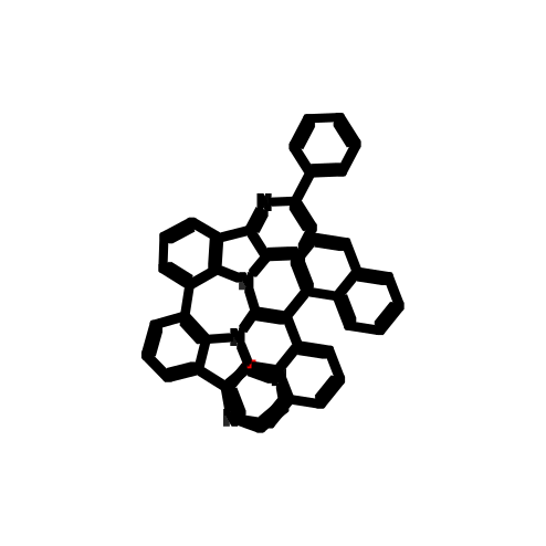 c1ccc(-c2cnc3c(n2)c2cccc4c5cccc6c7nccnc7n(c(=C(c7cccc8ccccc78)c7cccc8ccccc78)n3c42)c56)cc1